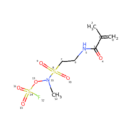 C=C(C)C(=O)NCCS(=O)(=O)N(C)OS(=O)(=O)F